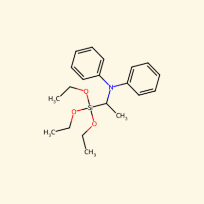 CCO[Si](OCC)(OCC)C(C)N(c1ccccc1)c1ccccc1